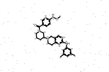 CSNc1ccc(C(=O)N2CCCC(N3CCc4nc(Nc5cc(C)cc(C)c5)ncc4C3)C2)cn1